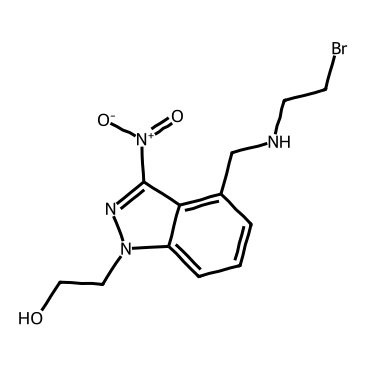 O=[N+]([O-])c1nn(CCO)c2cccc(CNCCBr)c12